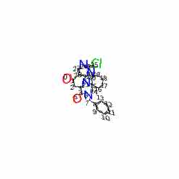 O=C1CC2C(=O)N(Cc3ccccc3)CC3(CCCCC3)N2c2nc(Cl)ncc21